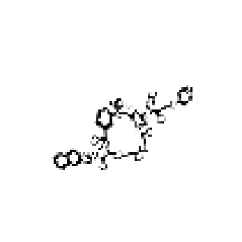 CN1CC(=O)N2C[C@H](NC(=O)CCc3ccncc3)C[C@H]2CS(=O)(=O)c2cccc(c2)C(=O)N(C)[C@H](C(=O)NCc2ccc3ccccc3c2)CCC1=O